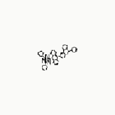 c1ccc(-c2nc(-c3ccccc3)nc(-c3c4ccccc4c(-c4ccc5cc(-c6ccccc6)c6ccccc6c5c4)c4ccccc34)n2)cc1